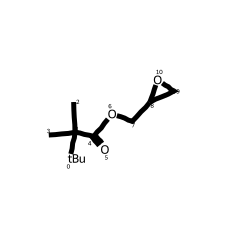 CC(C)(C)C(C)(C)C(=O)OCC1CO1